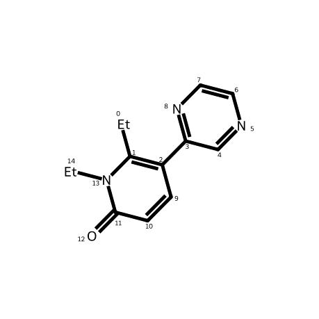 CCc1c(-c2cnccn2)ccc(=O)n1CC